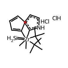 C[C](C)(C)[Zr]([CH3])([CH3])(=[SiH2])([C]1=CC=CC1)([c]1ccc[nH]1)[C](C)(C)C.Cl.Cl